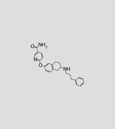 NC(=O)c1ccc(Oc2ccc3c(c2)CCC(NCCCc2ccccc2)C3)nc1